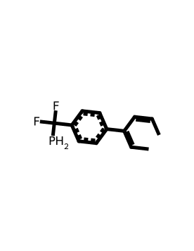 C/C=C\C(=C/C)c1ccc(C(F)(F)P)cc1